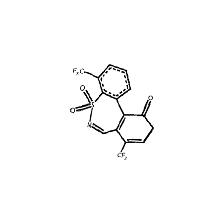 O=C1CC=C(C(F)(F)F)C2=C1c1cccc(C(F)(F)F)c1S(=O)(=O)N=C2